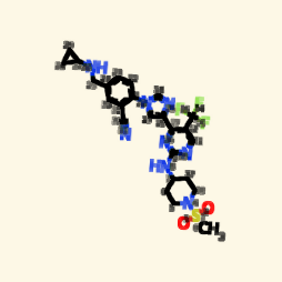 CS(=O)(=O)N1CCC(Nc2ncc(C(F)(F)F)c(-c3cn(-c4ccc(CNC5CC5)cc4C#N)cn3)n2)CC1